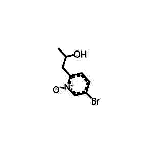 CC(O)Cc1ccc(Br)c[n+]1[O-]